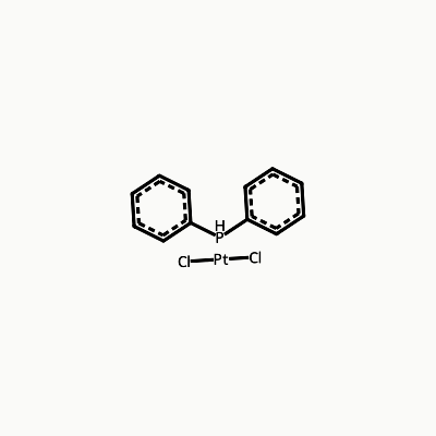 [Cl][Pt][Cl].c1ccc(Pc2ccccc2)cc1